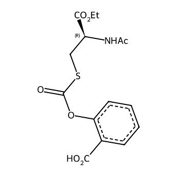 CCOC(=O)[C@H](CSC(=O)Oc1ccccc1C(=O)O)NC(C)=O